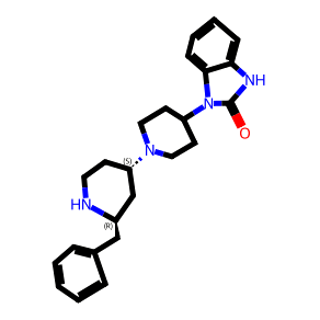 O=c1[nH]c2ccccc2n1C1CCN([C@H]2CCN[C@H](Cc3ccccc3)C2)CC1